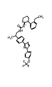 CCc1ccccc1N1CCCS/C1=N\C(=O)NCC(C)c1ccc(-c2ncn(-c3ccc(OC(F)(F)F)cc3)n2)cc1